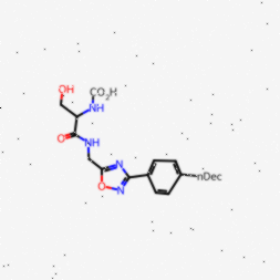 CCCCCCCCCCc1ccc(-c2noc(CNC(=O)C(CO)NC(=O)O)n2)cc1